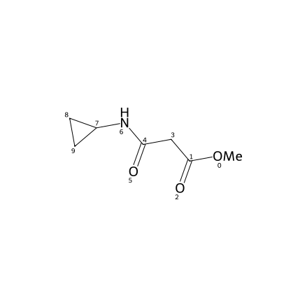 COC(=O)CC(=O)NC1CC1